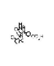 NC(=O)c1nn(-c2c(Cl)cccc2Cl)nc1Nc1ccc(C(=O)O)cc1